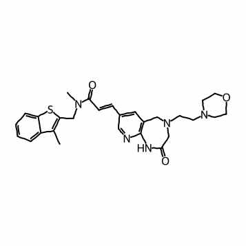 Cc1c(CN(C)C(=O)/C=C/c2cnc3c(c2)CN(CCN2CCOCC2)CC(=O)N3)sc2ccccc12